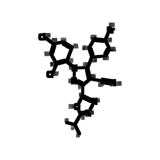 CC(C)c1nnc(-c2nn(-c3ccc(Cl)cc3Cl)c(-c3ccc(Br)cc3)c2C#N)o1